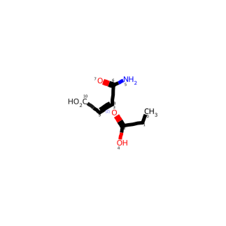 CCC(=O)O.NC(=O)/C=C\C(=O)O